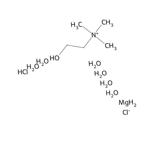 C[N+](C)(C)CCO.Cl.O.O.O.O.O.O.[Cl-].[MgH2]